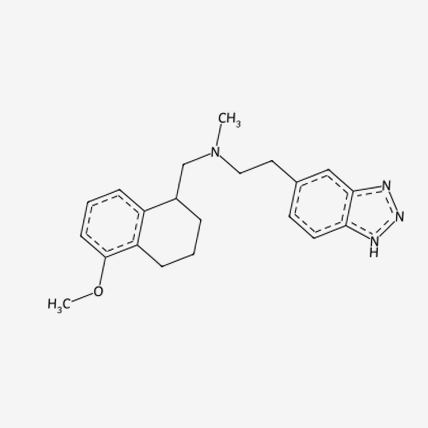 COc1cccc2c1CCCC2CN(C)CCc1ccc2[nH]nnc2c1